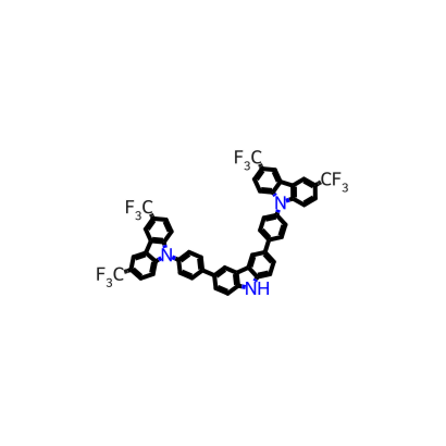 FC(F)(F)c1ccc2c(c1)c1cc(C(F)(F)F)ccc1n2-c1ccc(-c2ccc3[nH]c4ccc(-c5ccc(-n6c7ccc(C(F)(F)F)cc7c7cc(C(F)(F)F)ccc76)cc5)cc4c3c2)cc1